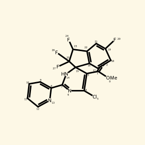 COC(=O)C1=C(Cl)N=C(c2ccccn2)NC12c1ccc(F)cc1C(F)C2(F)F